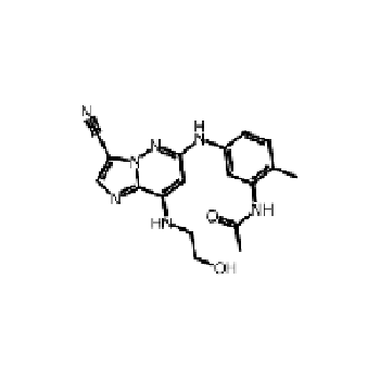 CC(=O)Nc1cc(Nc2cc(NCCO)c3ncc(C#N)n3n2)ccc1C